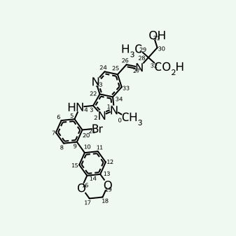 Cn1nc(Nc2cccc(-c3ccc4c(c3)OCCO4)c2Br)c2ncc(C=NC(C)(CO)C(=O)O)cc21